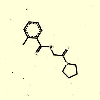 Cc1ccccc1C(=O)NCC(=O)N1CCCC1